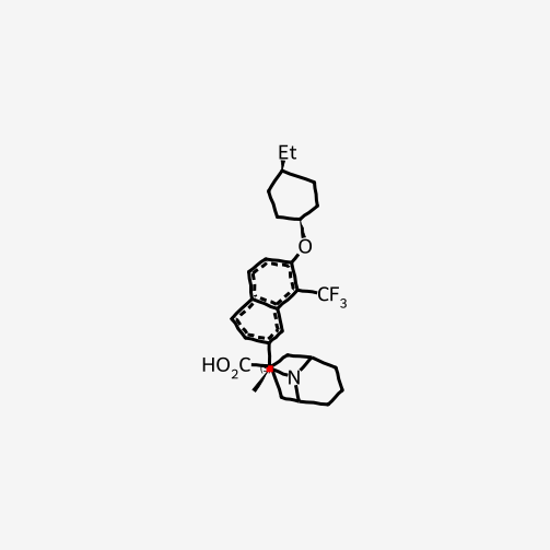 CC[C@H]1CC[C@@H](Oc2ccc3ccc([C@H](C)N4C5CCCC4CC(C(=O)O)C5)cc3c2C(F)(F)F)CC1